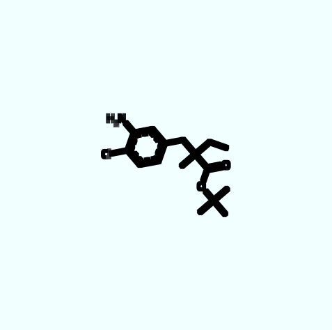 CCC(C)(Cc1ccc(Cl)c(N)c1)C(=O)OC(C)(C)C